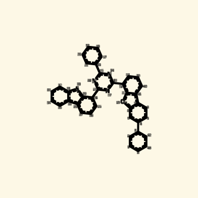 c1ccc(-c2ccc3c(c2)oc2c(-c4nc(-c5ccccc5)nc(-c5cccc6c5sc5ccccc56)n4)cccc23)cc1